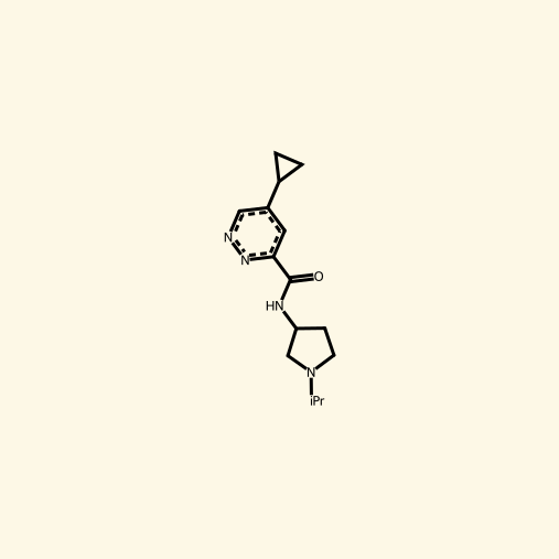 CC(C)N1CCC(NC(=O)c2cc(C3CC3)cnn2)C1